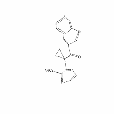 O=C(c1cnc2ccccc2c1)C1(c2ccccc2O)CC1